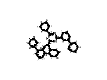 c1ccc(-c2cccc(-c3nc(-c4ccccc4)nc(-c4cc5c(-c6ccccc6)cccc5c5ccccc45)n3)c2)cc1